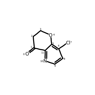 O=C1CCOc2c(Cl)ccnc21